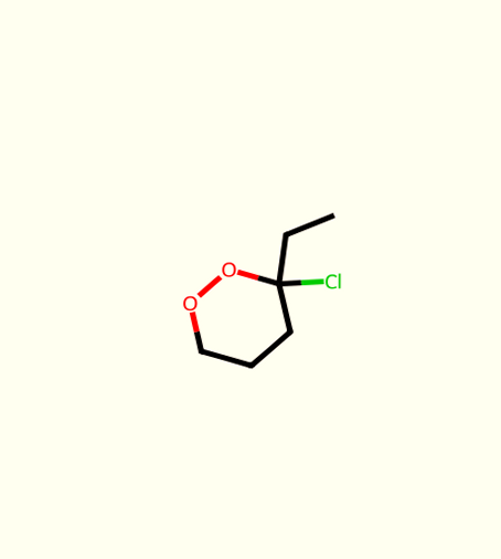 CCC1(Cl)CCCOO1